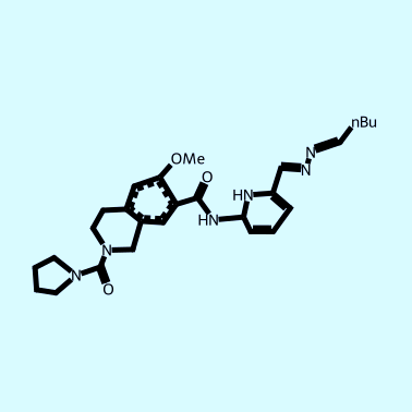 CCCC/C=N/N=C/C1=CC=CC(NC(=O)c2cc3c(cc2OC)CCN(C(=O)N2CCCC2)C3)N1